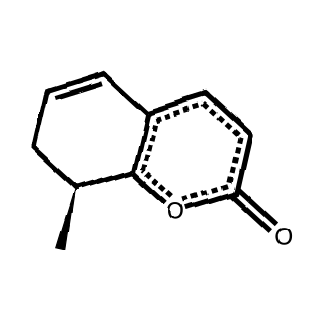 C[C@H]1CC=Cc2ccc(=O)oc21